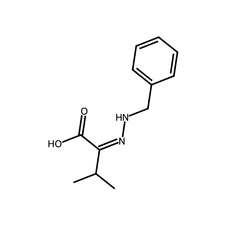 CC(C)C(=NNCc1ccccc1)C(=O)O